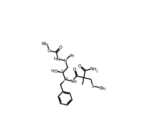 CC(C)N(C[C@H](O)[C@H](Cc1ccccc1)NC(=O)C(C)(CSC(C)(C)C)C(N)=O)NC(=O)OC(C)(C)C